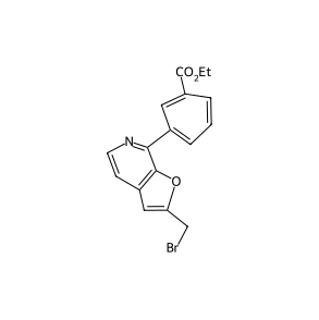 CCOC(=O)c1cccc(-c2nccc3cc(CBr)oc23)c1